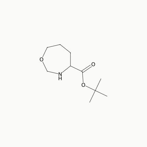 CC(C)(C)OC(=O)C1CCCOCN1